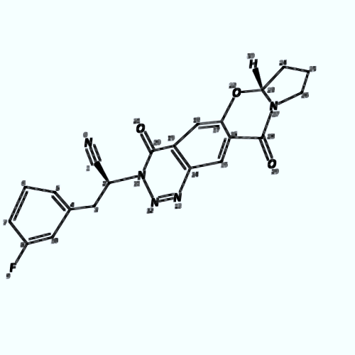 N#C[C@H](Cc1cccc(F)c1)n1nnc2cc3c(cc2c1=O)O[C@@H]1CCCN1C3=O